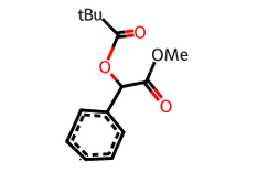 COC(=O)C(OC(=O)C(C)(C)C)c1cc[c]cc1